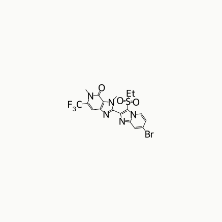 CCS(=O)(=O)c1c(-c2nc3cc(C(F)(F)F)n(C)c(=O)c3n2C)nc2cc(Br)ccn12